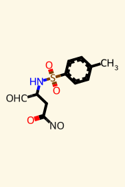 Cc1ccc(S(=O)(=O)NC(C=O)CC(=O)N=O)cc1